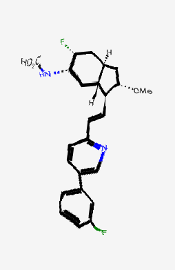 CO[C@H]1C[C@@H]2C[C@@H](F)[C@@H](NC(=O)O)C[C@H]2[C@@H]1C=Cc1ccc(-c2cccc(F)c2)cn1